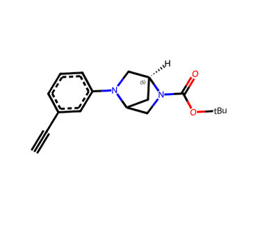 C#Cc1cccc(N2C[C@@H]3CC2CN3C(=O)OC(C)(C)C)c1